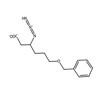 N=[N+]=NC(CCCOCc1ccccc1)CC(=O)[O-]